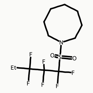 CCC(F)(F)C(F)(F)C(F)(F)S(=O)(=O)N1CCCCCCC1